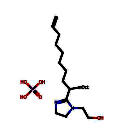 C=CCCCCCCC(CCCCCCCC)C1=NCCN1CCO.O=P(O)(O)O